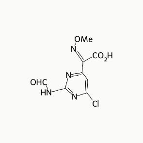 CON=C(C(=O)O)c1cc(Cl)nc(NC=O)n1